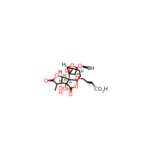 B=C[C@@H]1CC2OC(=O)[C@]3(O)[C@@]4(O)C(C)C(=O)O[C@H]4[C@H](O)[C@]23C23C1[C@@H]2OC(=O)[C@@H]3OC/C=C/C(=O)O